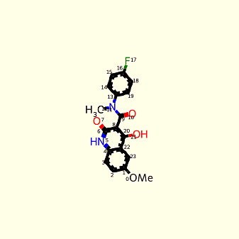 COc1ccc2[nH]c(=O)c(C(=O)N(C)c3ccc(F)cc3)c(O)c2c1